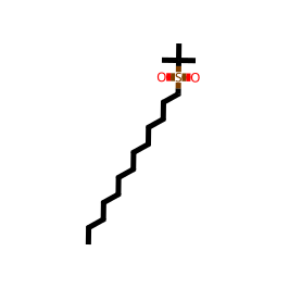 CCCCCCCCCCCCCS(=O)(=O)C(C)(C)C